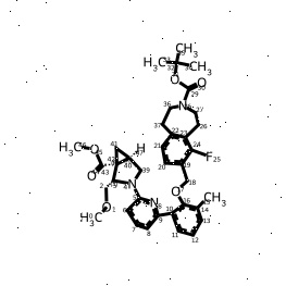 COC[C@H]1N(c2cccc(-c3cccc(C)c3OCc3ccc4c(c3F)CCN(C(=O)OC(C)(C)C)CC4)n2)C[C@@H]2C[C@@]21C(=O)OC